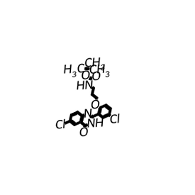 CC(C)(C)OC(=O)NCCCOc1ccc(Cl)cc1-c1nc2ccc(Cl)cc2c(=O)[nH]1